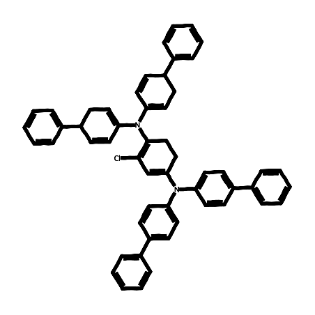 ClC1=C(N(C2=CCC(c3ccccc3)C=C2)C2=CCC(c3ccccc3)C=C2)CCC(N(c2ccc(-c3ccccc3)cc2)c2ccc(-c3ccccc3)cc2)=C1